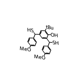 COc1ccc(C(S)c2cc(C(S)c3ccc(OC)cc3)c(O)c(C(C)(C)C)c2)cc1